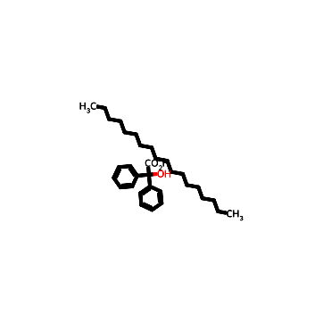 CCCCCCCCCCCCCCCCCC.O=C(O)C(O)(c1ccccc1)c1ccccc1